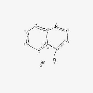 Clc1ccnc2ccccc12.[Ar]